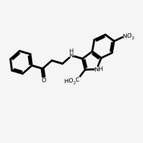 O=C(CCNc1c(C(=O)O)[nH]c2cc([N+](=O)[O-])ccc12)c1ccccc1